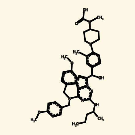 CCCC(C)Nc1nc(N(Cc2ccc(OC)cc2)Cc2ccc(OC)cc2)c2ncc(C(O)c3ccc(N4CCC(N(C)C(=O)O)CC4)c(C)c3)n2n1